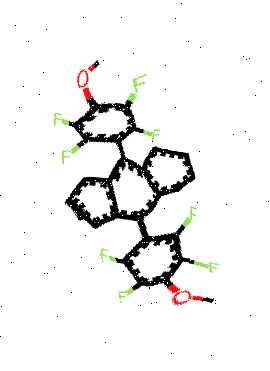 COc1c(F)c(F)c(-c2c3ccccc3c(-c3c(F)c(F)c(OC)c(F)c3F)c3ccccc23)c(F)c1F